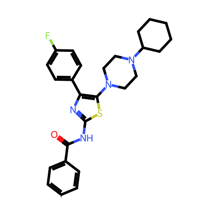 O=C(Nc1nc(-c2ccc(F)cc2)c(N2CCN(C3CCCCC3)CC2)s1)c1cc[c]cc1